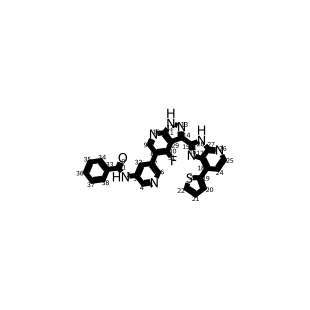 O=C(Nc1cncc(-c2cnc3[nH]nc(-c4nc5c(-c6cccs6)ccnc5[nH]4)c3c2F)c1)c1ccccc1